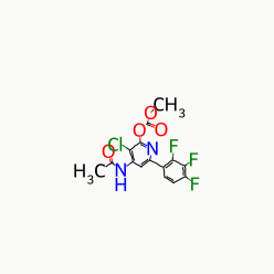 COC(=O)Oc1nc(-c2ccc(F)c(F)c2F)cc(NC(C)=O)c1Cl